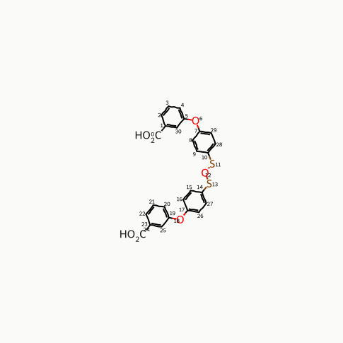 O=C(O)c1cccc(Oc2ccc(SOSc3ccc(Oc4cccc(C(=O)O)c4)cc3)cc2)c1